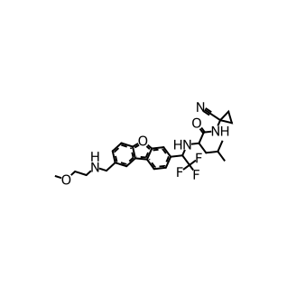 COCCNCc1ccc2oc3cc(C(NC(CC(C)C)C(=O)NC4(C#N)CC4)C(F)(F)F)ccc3c2c1